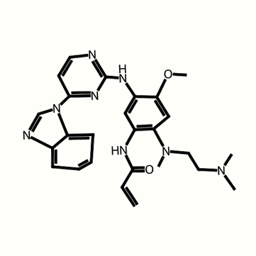 C=CC(=O)Nc1cc(Nc2nccc(-n3cnc4ccccc43)n2)c(OC)cc1N(C)CCN(C)C